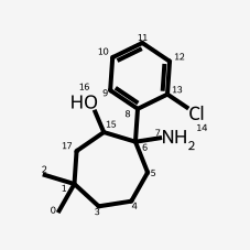 CC1(C)CCCC(N)(c2ccccc2Cl)C(O)C1